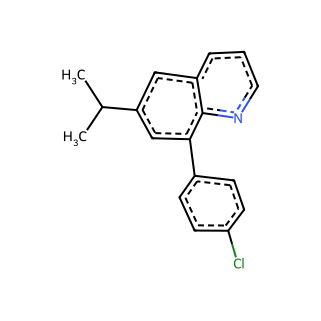 CC(C)c1cc(-c2ccc(Cl)cc2)c2ncccc2c1